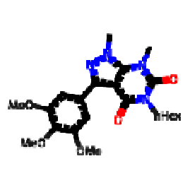 CCCCCCn1c(=O)c2c(-c3cc(OC)c(OC)c(OC)c3)nn(C)c2n(C)c1=O